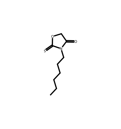 CCCCCCN1C(=O)COC1=S